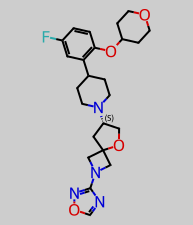 Fc1ccc(OC2CCOCC2)c(C2CCN([C@@H]3COC4(C3)CN(c3ncon3)C4)CC2)c1